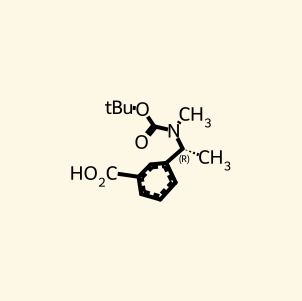 C[C@H](c1cccc(C(=O)O)c1)N(C)C(=O)OC(C)(C)C